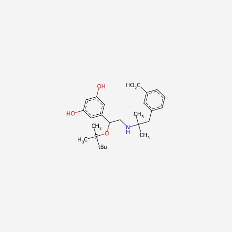 CC(C)(Cc1cccc(C(=O)O)c1)NCC(O[Si](C)(C)C(C)(C)C)c1cc(O)cc(O)c1